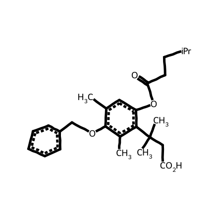 Cc1cc(OC(=O)CCC(C)C)c(C(C)(C)CC(=O)O)c(C)c1OCc1ccccc1